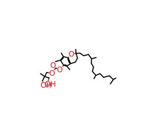 Cc1c(C)c2c(c(C)c1OC(=O)OCC(C)(CO)CO)CCC(C)(CCCC(C)CCCC(C)CCCC(C)C)O2